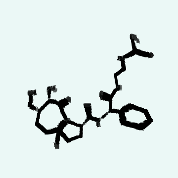 CC(=O)NCCNC(=O)[C@@H](NC(=O)[C@@H]1CC[C@@H]2CC[C@H](CO)[C@H](N)C(=O)N21)c1ccccc1